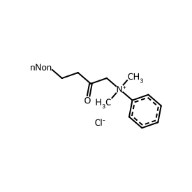 CCCCCCCCCCCC(=O)C[N+](C)(C)c1ccccc1.[Cl-]